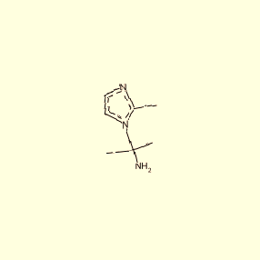 Cc1nccn1C(C)(C)N